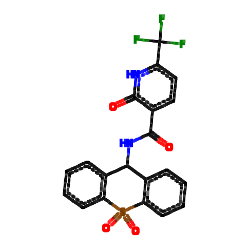 O=C(NC1c2ccccc2S(=O)(=O)c2ccccc21)c1ccc(C(F)(F)F)[nH]c1=O